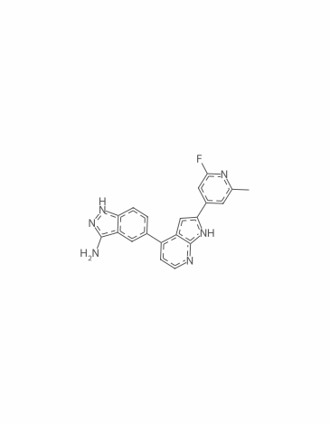 Cc1cc(-c2cc3c(-c4ccc5[nH]nc(N)c5c4)ccnc3[nH]2)cc(F)n1